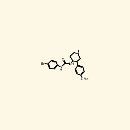 COc1ccc(C2CNCCC2NC(=O)Nc2ccc(Br)cc2)cc1